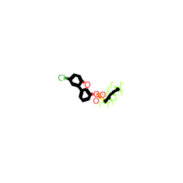 O=S(=O)(Oc1cccc2c1oc1ccc(Cl)cc12)C(F)(F)C(F)(F)C(F)(F)C(F)(F)F